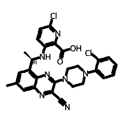 Cc1cc([C@@H](C)Nc2ccc(Cl)nc2C(=O)O)c2nc(N3CCN(c4ccccc4Cl)CC3)c(C#N)nc2c1